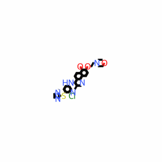 COc1c(OCCN2CCOCC2)ccc2c1ccc1c(Nc3ccc(Sc4nccn4C)c(Cl)c3)c(C#N)cnc12